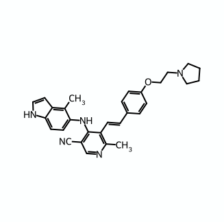 Cc1ncc(C#N)c(Nc2ccc3[nH]ccc3c2C)c1/C=C/c1ccc(OCCN2CCCC2)cc1